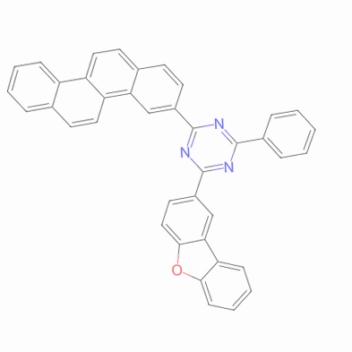 c1ccc(-c2nc(-c3ccc4ccc5c6ccccc6ccc5c4c3)nc(-c3ccc4oc5ccccc5c4c3)n2)cc1